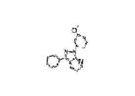 COc1cccc(-n2nc(-c3ccccc3)c3cccnc32)c1